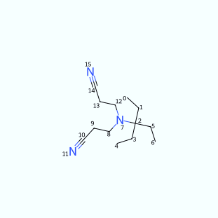 CCC(CC)(CC)N(CCC#N)CCC#N